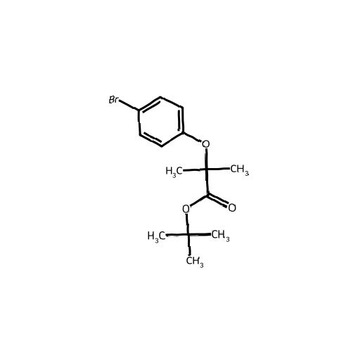 CC(C)(C)OC(=O)C(C)(C)Oc1ccc(Br)cc1